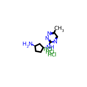 Cc1cnc(N[C@@H]2CC[C@@H](N)C2)nn1.Cl.Cl.Cl